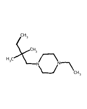 CCN1CCN(CC(C)(C)CC)CC1